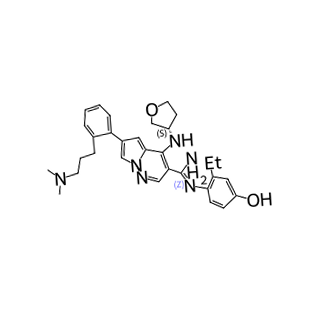 CCc1cc(O)ccc1/N=C(\N)c1cnn2cc(-c3ccccc3CCCN(C)C)cc2c1N[C@H]1CCOC1